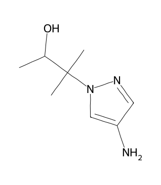 CC(O)C(C)(C)n1cc(N)cn1